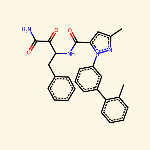 Cc1cc(C(=O)NC(Cc2ccccc2)C(=O)C(N)=O)n(-c2cccc(-c3ccccc3C)c2)n1